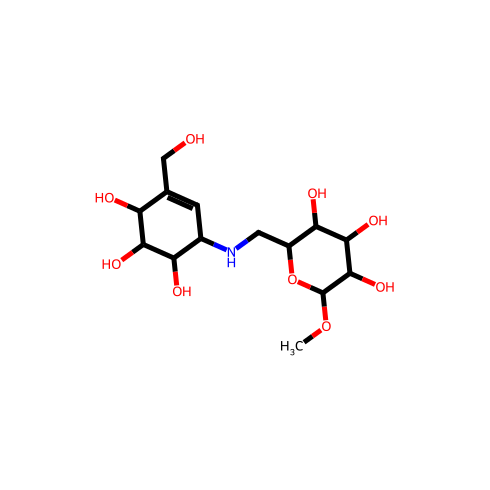 COC1OC(CNC2C=C(CO)C(O)C(O)C2O)C(O)C(O)C1O